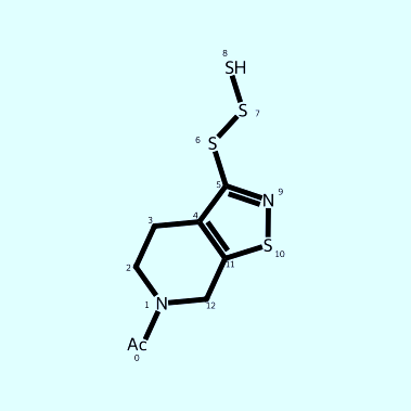 CC(=O)N1CCc2c(SSS)nsc2C1